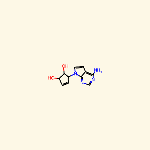 Nc1ncnc2c1ccn2C1C=CC(O)C1O